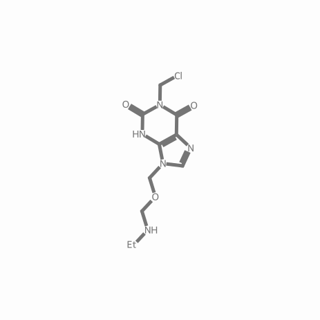 CCNCOCn1cnc2c(=O)n(CCl)c(=O)[nH]c21